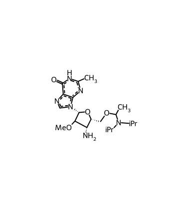 COC1[C@@H](N)[C@@H](COC(C)N(C(C)C)C(C)C)O[C@H]1n1cnc2c(=O)[nH]c(C)nc21